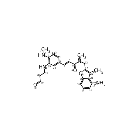 CNc1ncc(/C=C/C(=O)N(C)Cc2oc3cccc(N)c3c2C)cc1NCCC=O